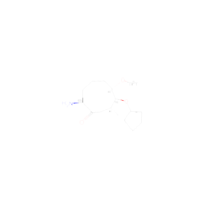 CCCO[C@H]1CCC[C@H](N)C(=O)C[C@@H](C)[C@@H]1OC1CCCC1